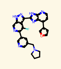 Fc1c(-c2cncc(CN3CCCC3)c2)ncc2[nH]nc(-c3nc4c(-c5ccoc5)ccnc4[nH]3)c12